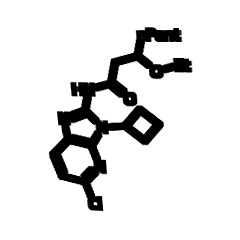 CCCCCC(CC(=O)Nc1nc2ccc(Cl)nc2n1C1CCC1)OCC